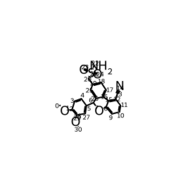 COc1ccc(C2Oc3cccc(C#N)c3-c3ccc(CS(N)(=O)=O)cc32)cc1OC